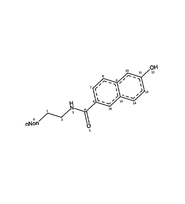 CCCCCCCCCCCNC(=O)c1ccc2cc(O)ccc2c1